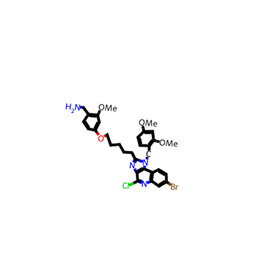 COc1ccc(Cn2c(CCCCCOc3ccc(CN)c(OC)c3)nc3c(Cl)nc4cc(Br)ccc4c32)c(OC)c1